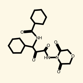 O=C(NN1C(=O)COCC1=O)C(=O)C(NC(=O)C1CCCCC1)C1CCCCC1